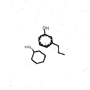 CCCc1cccc(O)c1.OC1CCCCC1